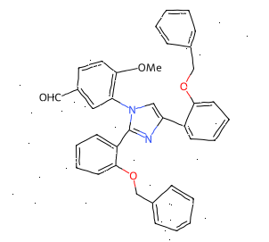 COc1ccc(C=O)cc1-n1cc(-c2ccccc2OCc2ccccc2)nc1-c1ccccc1OCc1ccccc1